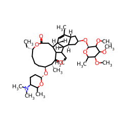 C=CC1C2C(=O)[C@H](C)[C@@H](O[C@H]3CC[C@H](N(C)C)C(C)O3)CCC[C@H](CC)OC(=O)C[C@H]2[C@@H]2C=C(C)[C@@H]3C[C@@H](O[C@@H]4OC(C)[C@H](OC)C(OC)C4OC)C[C@H]3[C@H]12